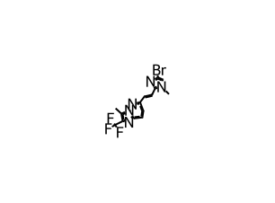 Cc1c(C(F)(F)F)nc2ccc(C=Cc3nc(Br)cn3C)nn12